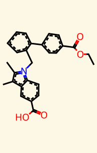 CCOC(=O)c1ccc(-c2ccccc2Cn2c(C)c(C)c3cc(C(=O)O)ccc32)cc1